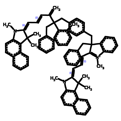 C=C(/C=C/C=C1/N(C)c2ccc3ccccc3c2C1(C)C)C(Cc1ccccc1)(Cc1ccc(CC2(Cc3ccccc3)C(/C=C/C=C3/N(C)c4ccc5ccccc5c4C3(C)C)=[N+](C)c3ccccc32)cc1)c1ccccc1C